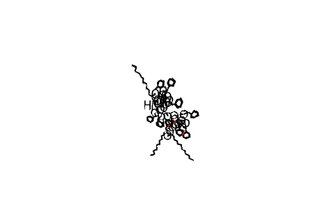 CCCCCCCCCCCC(=O)O[C@H](CCCCCCCCCCC)CC(=O)N[C@H]1[C@H](OC[C@H]2O[C@H](OP(=O)(OOCc3ccccc3)OOCc3ccccc3)[C@H](NC(=O)C[C@@H](CCCCCCCCCCC)OCc3ccccc3)[C@@H](OCc3ccccc3)[C@@H]2OCc2ccccc2)O[C@H](COCc2ccccc2)[C@@H](OP(=O)(OCc2ccccc2)OCc2ccccc2)[C@@H]1OCc1ccccc1